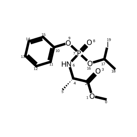 COC(=O)[C@H](C)NP(=O)(Oc1ccccc1)OC(C)I